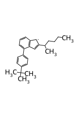 CCCCC(C)C1=Cc2c(cccc2-c2ccc(C(C)(C)C)cc2)[CH]1